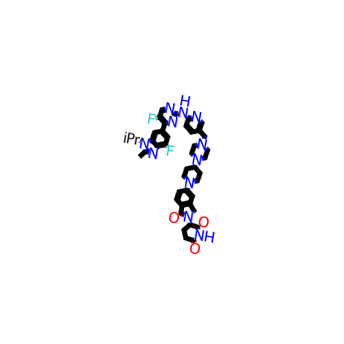 Cc1nc2c(F)cc(-c3nc(Nc4ccc(CN5CCN(C6CCN(c7ccc8c(c7)CN(C7CCC(=O)NC7=O)C8=O)CC6)CC5)cn4)ncc3F)cc2n1C(C)C